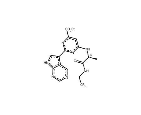 CCOC(=O)c1cc(N[C@@H](C)C(=O)NCC(F)(F)F)nc(-c2c[nH]c3ncncc23)n1